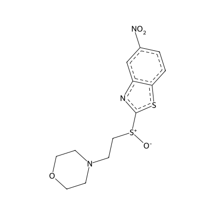 O=[N+]([O-])c1ccc2sc([S+]([O-])CCN3CCOCC3)nc2c1